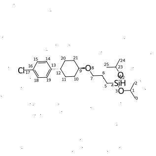 CC(C)O[SiH](CCCO[C@H]1CC[C@H](c2ccc(Cl)cc2)CC1)OC(C)C